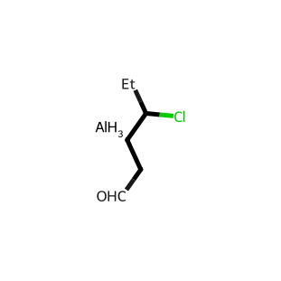 CCC(Cl)CCC=O.[AlH3]